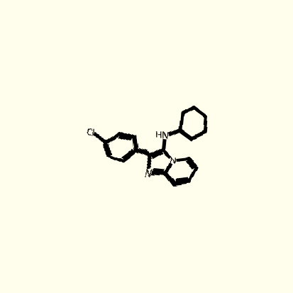 Clc1ccc(-c2nc3ccccn3c2NC2CCCCC2)cc1